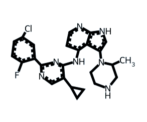 CC1CNCCN1c1c[nH]c2nccc(Nc3nc(-c4cc(Cl)ccc4F)ncc3C3CC3)c12